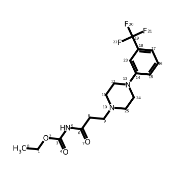 CCOC(=O)NC(=O)CCN1CCN(c2cccc(C(F)(F)F)c2)CC1